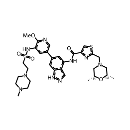 COc1ncc(-c2cc(NC(=O)c3csc(CN4C[C@@H](C)O[C@@H](C)C4)n3)c3cn[nH]c3c2)cc1NS(=O)(=O)CCN1CCN(C)CC1